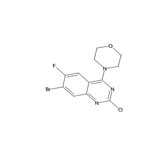 Fc1cc2c(N3CCOCC3)nc(Cl)nc2cc1Br